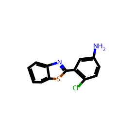 Nc1ccc(Cl)c(-c2nc3ccccc3s2)c1